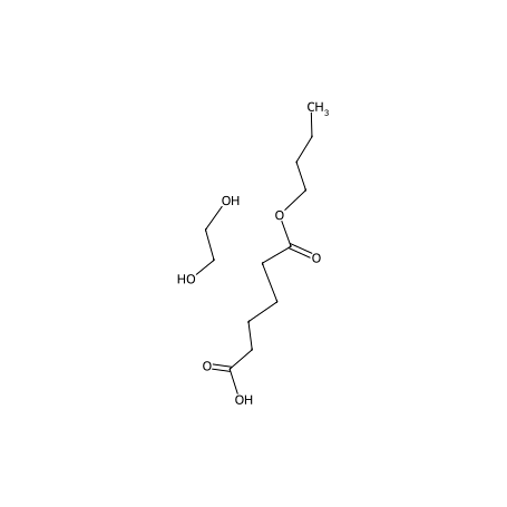 CCCCOC(=O)CCCCC(=O)O.OCCO